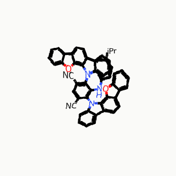 C=C(/C=C\C(C)C(C)C)Nc1c(-n2c3ccccc3c3ccc4c5ccccc5oc4c32)c(C#N)cc(C#N)c1-n1c2ccccc2c2ccc3c4ccccc4oc3c21